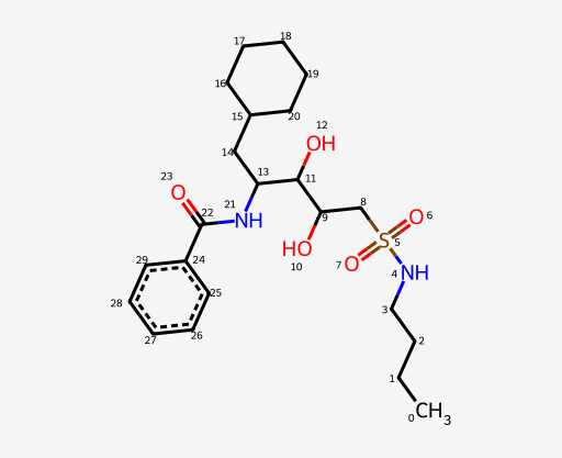 CCCCNS(=O)(=O)CC(O)C(O)C(CC1CCCCC1)NC(=O)c1ccccc1